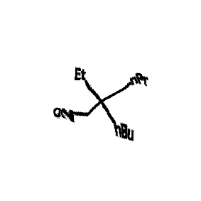 CCCCC(CC)(CCC)N=O